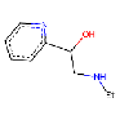 CCNCC(O)c1ccccn1